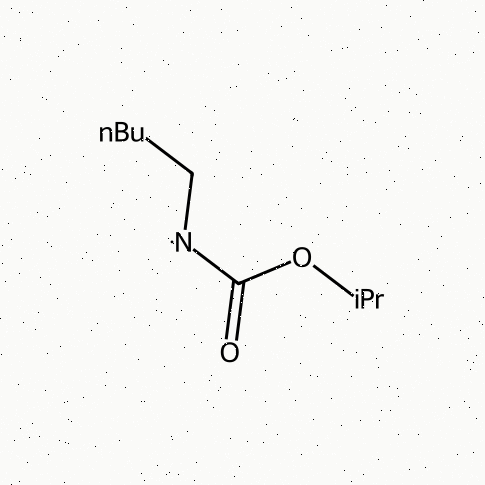 CCCCC[N]C(=O)OC(C)C